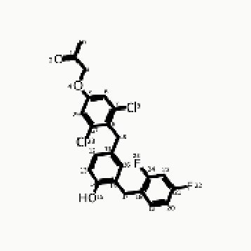 CC(=O)COc1cc(Cl)c(Cc2ccc(O)c(Cc3ccc(F)cc3F)c2)c(Cl)c1